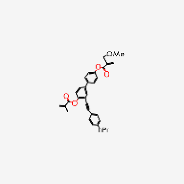 C=C(C)C(=O)Oc1ccc(-c2ccc(OC(=O)C(=C)COC)cc2)cc1C#Cc1ccc(CCC)cc1